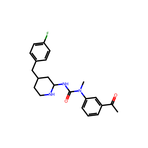 CC(=O)c1cccc(N(C)C(=O)NC2CC(Cc3ccc(F)cc3)CCN2)c1